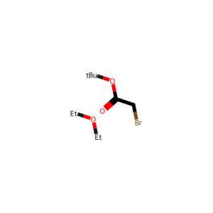 CC(C)(C)OC(=O)CBr.CCOCC